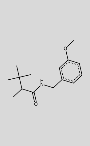 COc1cccc(CNC(=O)C(C)C(C)(C)C)c1